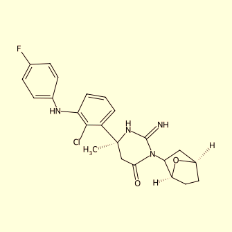 C[C@@]1(c2cccc(Nc3ccc(F)cc3)c2Cl)CC(=O)N(C2C[C@H]3CC[C@@H]2O3)C(=N)N1